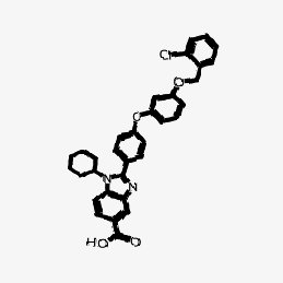 O=C(O)c1ccc2c(c1)nc(-c1ccc(Oc3cccc(OCc4ccccc4Cl)c3)cc1)n2C1CCCCC1